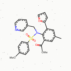 COC(=O)c1cc(C)cc(-c2ccco2)c1N(Cc1cccnc1)S(=O)(=O)c1ccc(OC)cc1